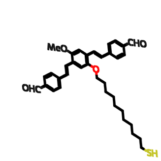 COc1cc(/C=C/c2ccc(C=O)cc2)c(OCCCCCCCCCCCS)cc1/C=C/c1ccc(C=O)cc1